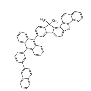 CC1(C)c2ccc(-c3c4ccccc4c(-c4cccc(-c5ccc6ccccc6c5)c4)c4ccccc34)cc2-c2ccc3sc4c5ccccc5ccc4c3c21